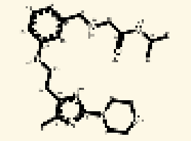 Cc1sc(N2CCOCC2)nc1CCOc1[c]c(CNCC(=O)OC(C)C)ccc1